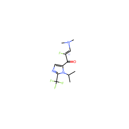 CC(C)n1c(C(=O)/C(F)=C/N(C)C)cnc1C(F)(F)F